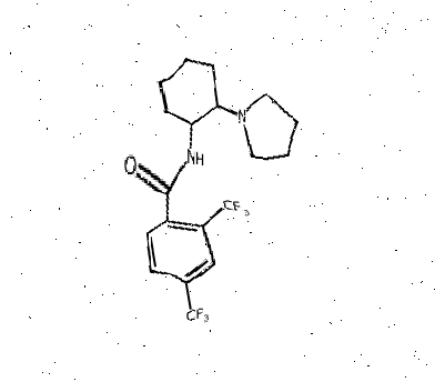 O=C(NC1CCCCC1N1CCCC1)c1ccc(C(F)(F)F)cc1C(F)(F)F